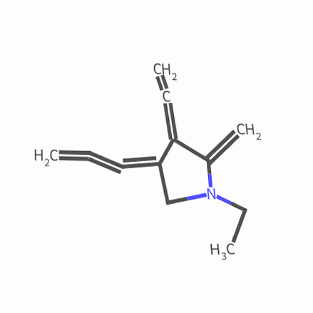 C=C=C=C1CN(CC)C(=C)C1=C=C